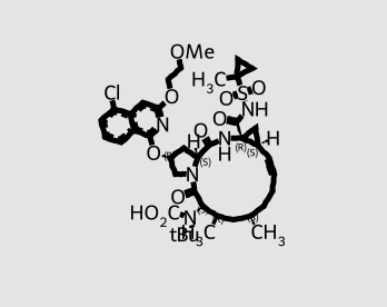 COCCOc1cc2c(Cl)cccc2c(O[C@@H]2C[C@H]3C(=O)N[C@]4(C(=O)NS(=O)(=O)C5(C)CC5)C[C@H]4C=CCC[C@H](C)C[C@@H](C)[C@H](N(C(=O)O)C(C)(C)C)C(=O)N3C2)n1